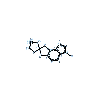 Cc1coc2c3c(ccc12)CC1(CCNC1)C3